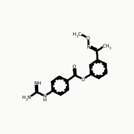 CON=C(C)c1cccc(OC(=O)c2ccc(NC(=N)N)cc2)c1